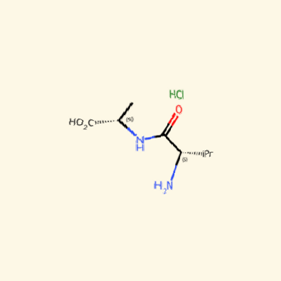 CC(C)[C@H](N)C(=O)N[C@@H](C)C(=O)O.Cl